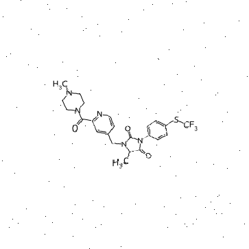 CC1C(=O)N(c2ccc(SC(F)(F)F)cc2)C(=O)N1Cc1ccnc(C(=O)N2CCN(C)CC2)c1